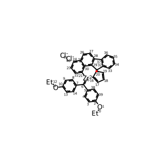 CCOc1ccc([C](c2ccc(OCC)cc2)=[Zr+2]([C]2=CC=CC2)[c]2cccc3ccc4c(c23)Cc2ccccc2-4)cc1.[Cl-].[Cl-]